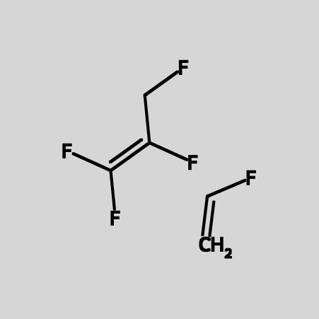 C=CF.FCC(F)=C(F)F